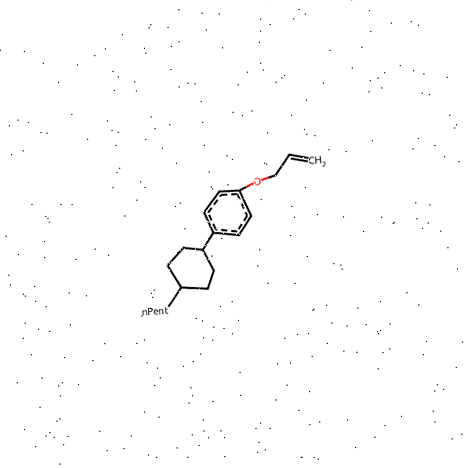 C=CCOc1ccc(C2CCC(CCCCC)CC2)cc1